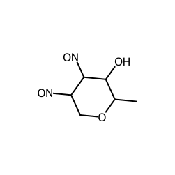 CC1OCC(N=O)C(N=O)C1O